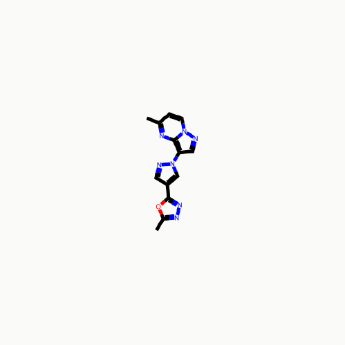 Cc1ccn2ncc(-n3cc(-c4nnc(C)o4)cn3)c2n1